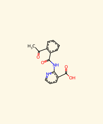 CC(=O)c1ccccc1C(=O)Nc1ncccc1C(=O)O